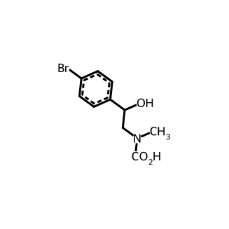 CN(CC(O)c1ccc(Br)cc1)C(=O)O